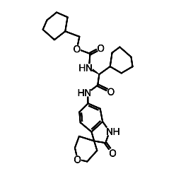 O=C(N[C@H](C(=O)Nc1ccc2c(c1)NC(=O)C21CCOCC1)C1CCCCC1)OCC1CCCCC1